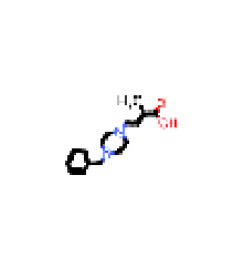 C/C(=C\CN1CCN(Cc2ccccc2)CC1)C(=O)O